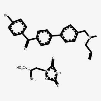 C=CCN(C)Cc1ccc(-c2ccc(C(=O)c3ccc(Br)cc3)cc2)cc1.N[C@@H](Cn1oc(=O)[nH]c1=O)C(=O)O